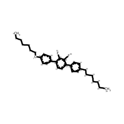 CCCCCCCOc1ccc(-c2ccc(-c3ccc(CCCCCCC)cc3)c(F)c2F)cc1